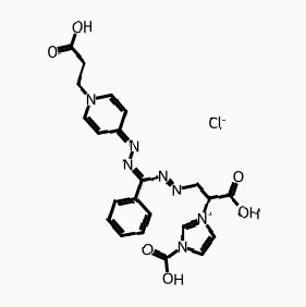 O=C(O)CCn1ccc(=NN=C(N=NCC(C(=O)O)[n+]2ccn(C(=O)O)c2)c2ccccc2)cc1.[Cl-]